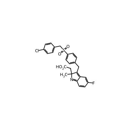 CC1(CC(=O)O)N=c2ccc(F)cc2=C1Cc1ccc(S(=O)(=O)Cc2ccc(Cl)cc2)cc1